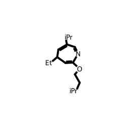 CCC1C=C(OCCC(C)C)N=CC(C(C)C)=C1